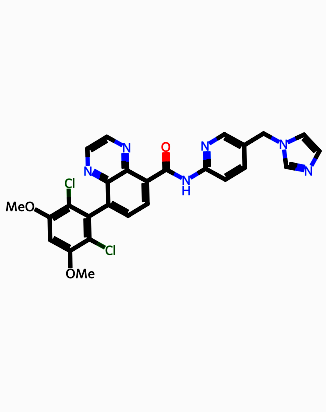 COc1cc(OC)c(Cl)c(-c2ccc(C(=O)Nc3ccc(Cn4ccnc4)cn3)c3nccnc23)c1Cl